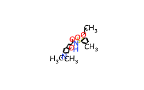 CCCOc1ccc(C)cc1[S+]([O-])NC(=O)c1cc2ccc(N(C)C)cc2o1